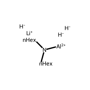 CCCCCC[N]([Al+2])CCCCCC.[H-].[H-].[H-].[Li+]